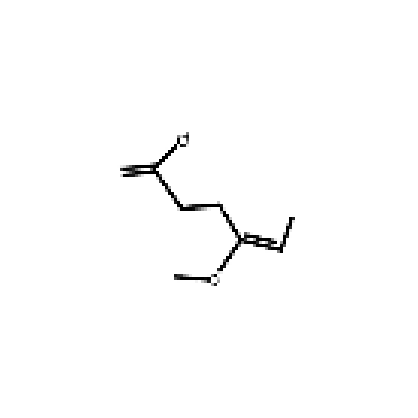 C=C(Cl)CC/C(=C\C)OC